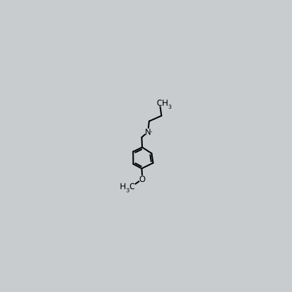 CCC[N]Cc1ccc(OC)cc1